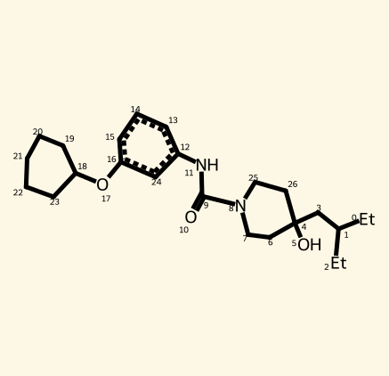 CCC(CC)CC1(O)CCN(C(=O)Nc2cccc(OC3CCCCC3)c2)CC1